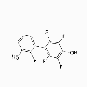 Oc1cccc(-c2c(F)c(F)c(O)c(F)c2F)c1F